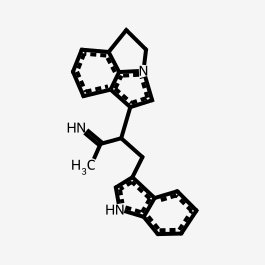 CC(=N)C(Cc1c[nH]c2ccccc12)c1cn2c3c(cccc13)CC2